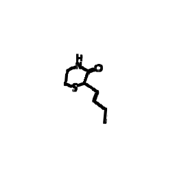 CCCCC1SCCNC1=O